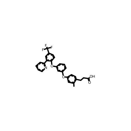 Cc1cc(Oc2cccc(Oc3ccc(C(F)(F)F)cc3-c3ccccn3)c2)ccc1CCC(=O)O